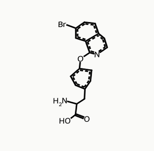 NC(Cc1ccc(Oc2nccc3ccc(Br)cc23)cc1)C(=O)O